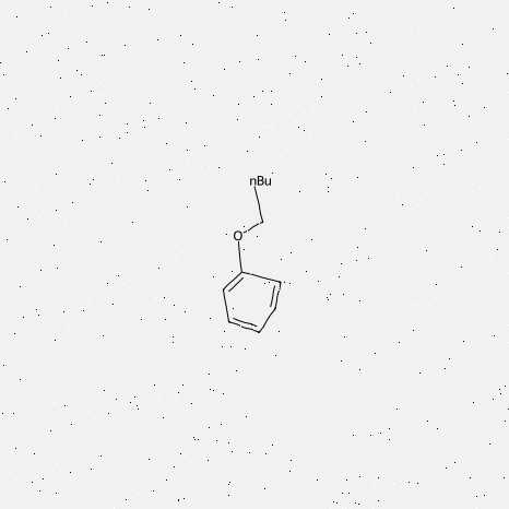 CCCCCOc1[c]cccc1